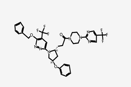 O=C(CC[C@@H]1C[C@@H](Oc2ccccc2)CN1c1cc(C(F)(F)F)c(OCc2ccccc2)nn1)N1CCN(c2ncc(C(F)(F)F)cn2)CC1